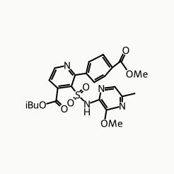 COC(=O)c1ccc(-c2nccc(C(=O)OCC(C)C)c2S(=O)(=O)Nc2ncc(C)nc2OC)cc1